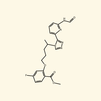 COC(=O)c1ccc(F)cc1OCCCC(C)n1cnnc1-c1cccc(NC=O)n1